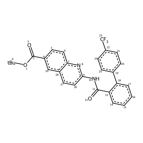 CC(C)(C)OC(=O)c1ccc2nc(NC(=O)c3ccccc3-c3ccc(C(F)(F)F)cc3)ccc2c1